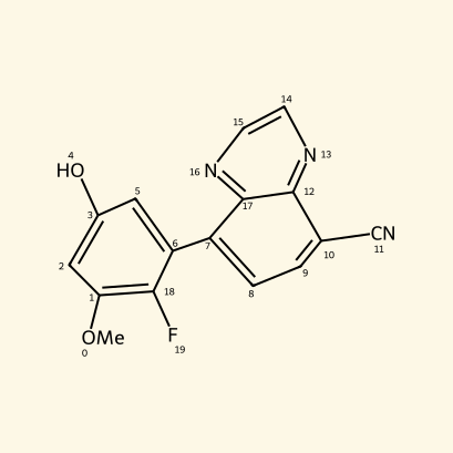 COc1cc(O)cc(-c2ccc(C#N)c3nccnc23)c1F